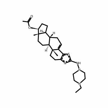 CCN1CCN(Nc2nc3c(s2)C2=CC[C@H]4[C@@H]5CC[C@H](OC(C)=O)[C@@]5(C)CC[C@@H]4[C@@]2(C)CC3)CC1